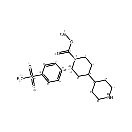 CC(C)(C)OC(=O)N1CCC(C2CCNCC2)C[C@@H]1c1ccc(S(=O)(=O)C(F)(F)F)cc1